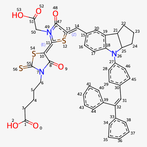 O=C(O)CCCCN1C(=O)/C(=c2\s/c(=C\c3ccc4c(c3)C3CCCC3N4c3ccc(C=C(c4ccccc4)c4ccccc4)cc3)c(=O)n2CC(=O)O)SC1=S